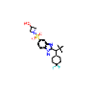 CC(C)(C)C(c1nc2cc(S(=O)(=O)N3CC(O)C3)ccc2[nH]1)C1CCC(F)(F)CC1